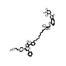 Cc1nn2c(N3CCN(CCO)CC3)cc(-c3ccccc3)nc2c1-c1cccc(CCCCCCCCCNC(=O)COc2cccc3c2CN(C2CCC(=O)NC2=O)C3=O)c1